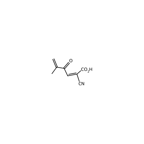 C=C(C)C(=O)C=C(C#N)C(=O)O